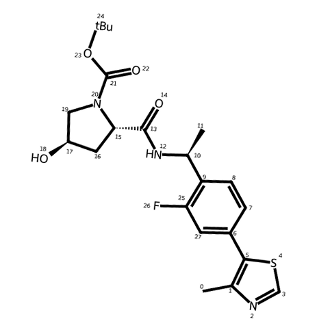 Cc1ncsc1-c1ccc([C@H](C)NC(=O)[C@@H]2C[C@@H](O)CN2C(=O)OC(C)(C)C)c(F)c1